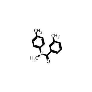 [CH2]c1cccc(C(=O)N(C)c2ccc(C)cc2)c1